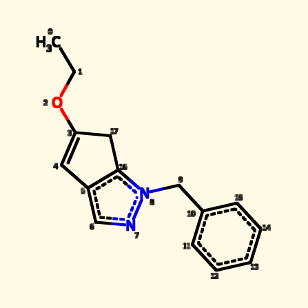 CCOC1=Cc2cnn(Cc3ccccc3)c2C1